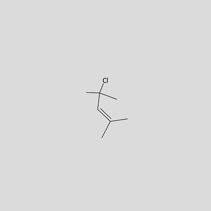 CC(C)=CC(C)(C)Cl